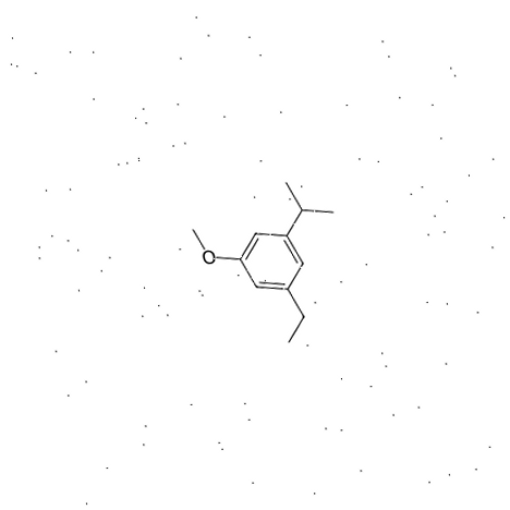 CCc1cc(OC)cc(C(C)C)c1